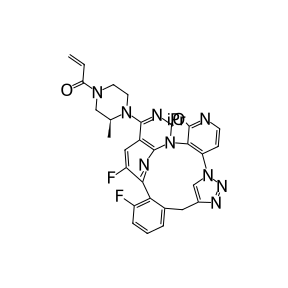 C=CC(=O)N1CCN(c2nc(=O)n3c4nc(c(F)cc24)-c2c(F)cccc2Cc2cn(nn2)-c2ccnc(C(C)C)c2-3)[C@@H](C)C1